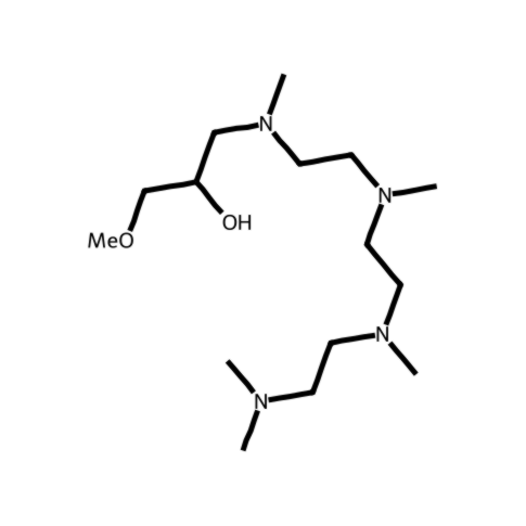 COCC(O)CN(C)CCN(C)CCN(C)CCN(C)C